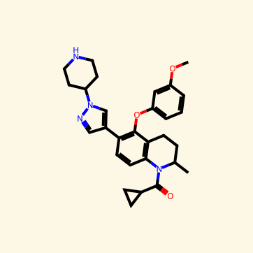 COc1cccc(Oc2c(-c3cnn(C4CCNCC4)c3)ccc3c2CCC(C)N3C(=O)C2CC2)c1